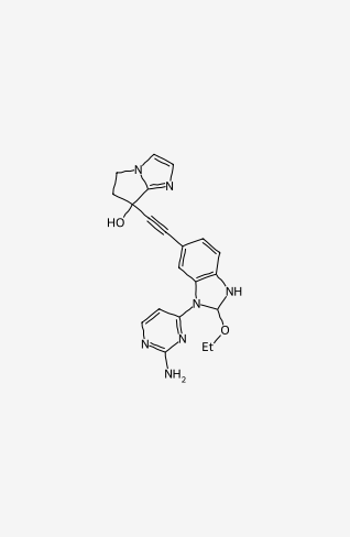 CCOC1Nc2ccc(C#CC3(O)CCn4ccnc43)cc2N1c1ccnc(N)n1